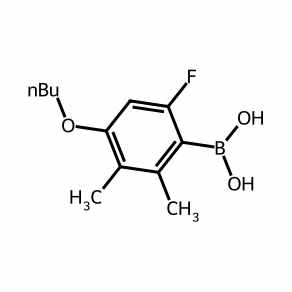 CCCCOc1cc(F)c(B(O)O)c(C)c1C